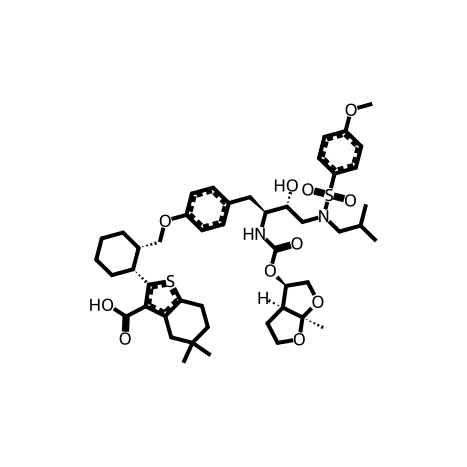 COc1ccc(S(=O)(=O)N(CC(C)C)C[C@@H](O)[C@H](Cc2ccc(OC[C@H]3CCCC[C@H]3c3sc4c(c3C(=O)O)CC(C)(C)CC4)cc2)NC(=O)O[C@H]2CO[C@@]3(C)OCC[C@@H]23)cc1